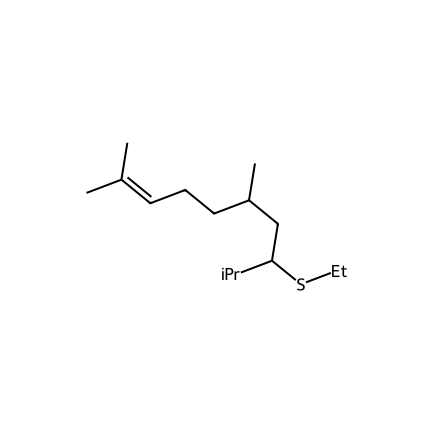 CCSC(CC(C)CCC=C(C)C)C(C)C